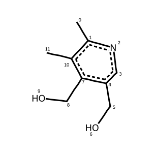 Cc1ncc(CO)c(CO)c1C